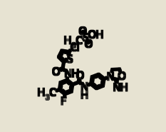 CS(=O)(=O)O.Cc1cc(NC(=O)c2ccc(Cl)s2)c(C(=O)Nc2ccc(N3CCOC3=N)cc2)cc1F